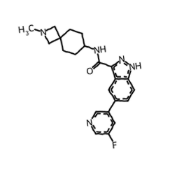 CN1CC2(CCC(NC(=O)c3n[nH]c4ccc(-c5cncc(F)c5)cc34)CC2)C1